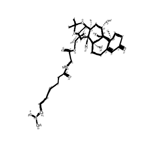 CC1(C)O[C@@H]2C[C@H]3[C@@H]4CCC5=CC(=O)C=C[C@]5(C)[C@@]4(F)[C@@H](O)C[C@]3(C)[C@]2(C(=O)COC(=O)CNC(=O)CCCCCON(O)O)O1